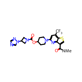 CNC(=O)c1csc2c(C(F)(F)F)cc(N3CCC(OC(=O)N4CC(n5cncn5)C4)CC3)nc12